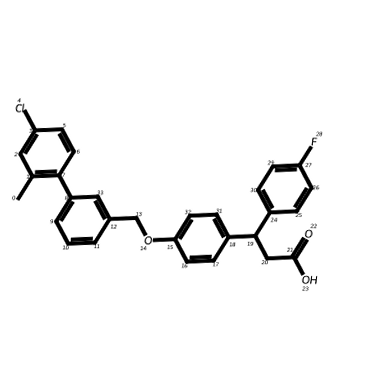 Cc1cc(Cl)ccc1-c1cccc(COc2ccc(C(CC(=O)O)c3ccc(F)cc3)cc2)c1